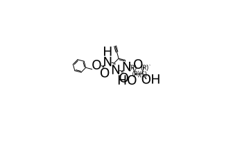 C#Cc1cn([C@@H]2O[C@H](C)[C@@H](O)[C@H]2O)c(=O)nc1NC(=O)OCc1ccccc1